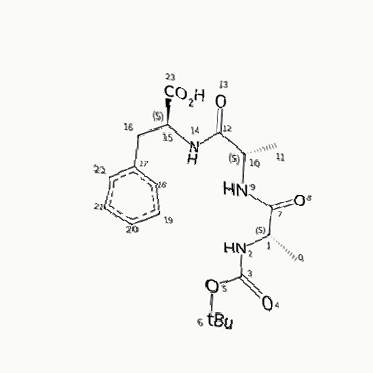 C[C@H](NC(=O)OC(C)(C)C)C(=O)N[C@@H](C)C(=O)N[C@@H](Cc1ccccc1)C(=O)O